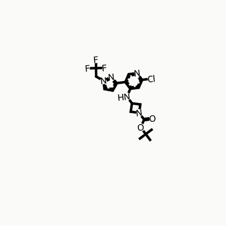 CC(C)(C)OC(=O)N1CC(Nc2cc(Cl)ncc2-c2ccn(CC(F)(F)F)n2)C1